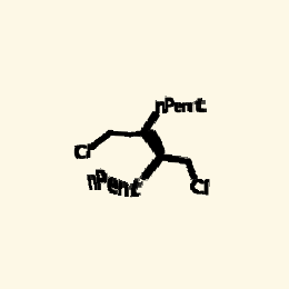 CCCCCC(CCl)=C(CCl)CCCCC